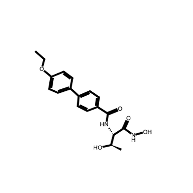 CCOc1ccc(-c2ccc(C(=O)N[C@H](C(=O)NO)[C@@H](C)O)cc2)cc1